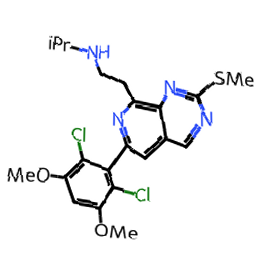 COc1cc(OC)c(Cl)c(-c2cc3cnc(SC)nc3c(CCNC(C)C)n2)c1Cl